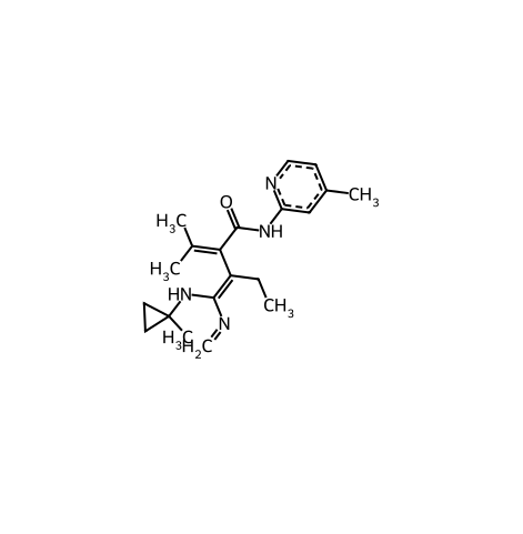 C=N/C(NC1(C)CC1)=C(\CC)C(C(=O)Nc1cc(C)ccn1)=C(C)C